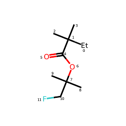 CCC(C)(C)C(=O)OC(C)(C)CF